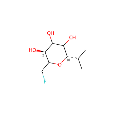 CC(C)[C@@H]1OC(CF)[C@@H](O)C(O)C1O